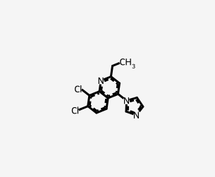 CCc1cc(-n2ccnc2)c2ccc(Cl)c(Cl)c2n1